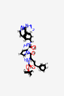 CC(C)(C)OC(=O)NC(CCc1ccccc1)C(=O)N1CCC[C@@H]1C(=O)NCc1ccc2c(N)nccc2c1